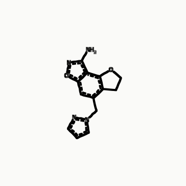 Nc1noc2cc(Cn3cccn3)c3c(c12)OCC3